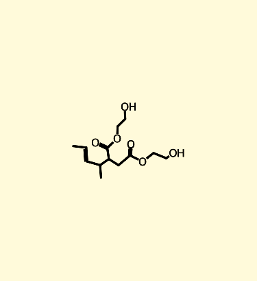 C/C=C/C(C)C(CC(=O)OCCO)C(=O)OCCO